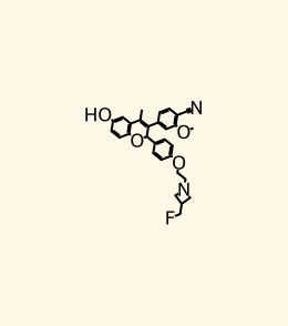 COc1cc(C2=C(C)c3cc(O)ccc3OC2c2ccc(OCCN3CC(CF)C3)cc2)ccc1C#N